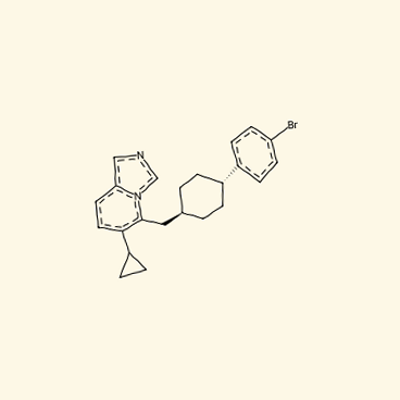 Brc1ccc([C@H]2CC[C@H](Cc3c(C4CC4)ccc4cncn34)CC2)cc1